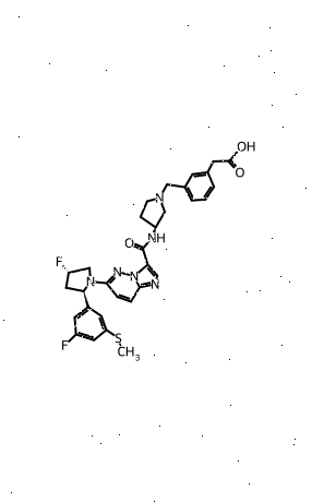 CSc1cc(F)cc([C@H]2C[C@H](F)CN2c2ccc3ncc(C(=O)N[C@H]4CCN(Cc5cccc(CC(=O)O)c5)C4)n3n2)c1